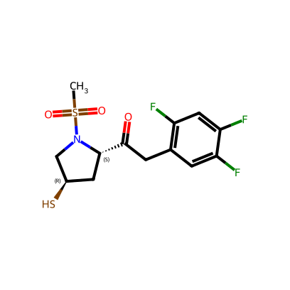 CS(=O)(=O)N1C[C@H](S)C[C@H]1C(=O)Cc1cc(F)c(F)cc1F